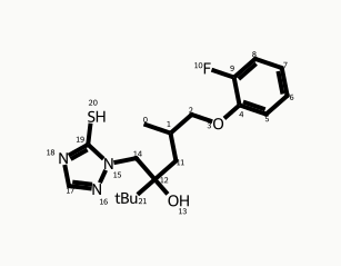 CC(COc1ccccc1F)CC(O)(Cn1ncnc1S)C(C)(C)C